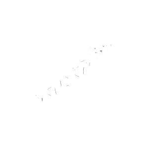 CNC(=O)c1ccc(-c2ccc(-c3nc4cc(O[C@@H]5CO[C@H]6[C@@H]5OC[C@H]6O)[nH]c4cc3F)cc2)cc1F